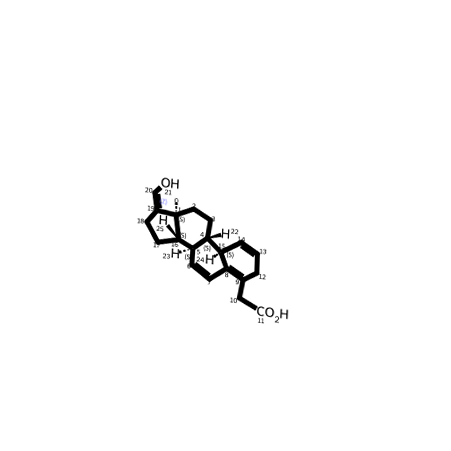 C[C@]12CC[C@H]3[C@@H](C=CC4=C(CC(=O)O)CC=C[C@@H]43)[C@@H]1CC/C2=C/O